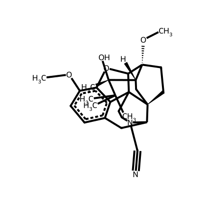 COc1ccc2c3c1OC1C34CCN(C#N)C(C2)[C@]42CC[C@@]1(OC)[C@@H]([C@@](C)(O)C(C)(C)C)C2